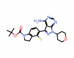 CC(C)(C)OC(=O)N1CCc2c1ccc(-c1nn(C3CCOCC3)c3ncnc(N)c13)c2F